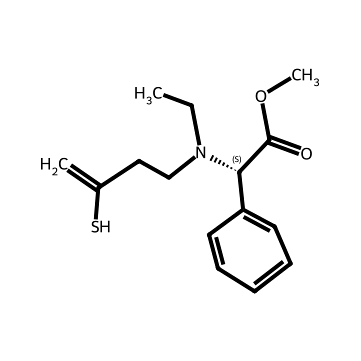 C=C(S)CCN(CC)[C@H](C(=O)OC)c1ccccc1